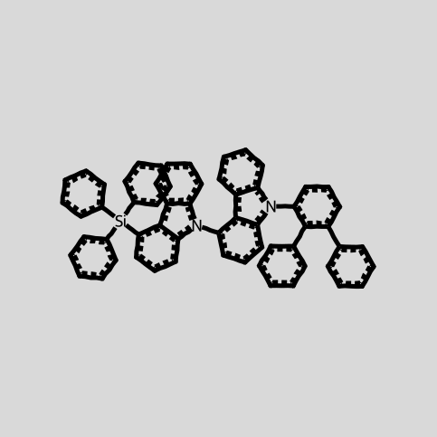 c1ccc(-c2cccc(-n3c4ccccc4c4c(-n5c6ccccc6c6c([Si](c7ccccc7)(c7ccccc7)c7ccccc7)cccc65)cccc43)c2-c2ccccc2)cc1